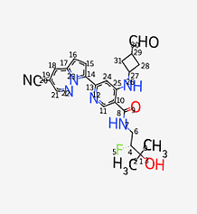 CC(C)(O)[C@H](F)CNC(=O)c1cnc(-c2ccc3cc(C#N)cnn23)cc1NC1CC(C=O)C1